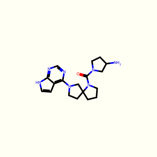 NC1CCN(C(=O)N2CCCC23CCN(c2ncnc4[nH]ccc24)C3)C1